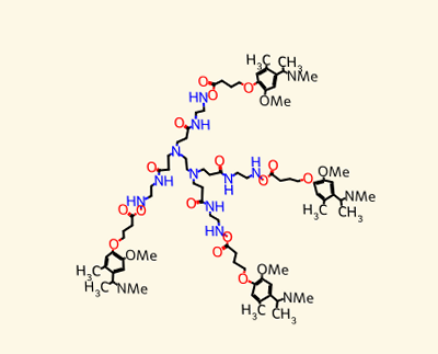 CNC(C)c1cc(OC)c(OCCCC(=O)ONCCNC(=O)CCN(CCC(=O)NCCNOC(=O)CCCOc2cc(C)c(C(C)NC)cc2OC)CCN(CCC(=O)NCCNOC(=O)CCCOc2cc(C)c(C(C)NC)cc2OC)CCC(=O)NCCNOC(=O)CCCOc2cc(C)c(C(C)NC)cc2OC)cc1C